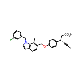 CC#C[C@@H](CC(=O)O)c1ccc(OCc2ccc3ccn(Cc4cccc(F)c4)c3c2C)cc1